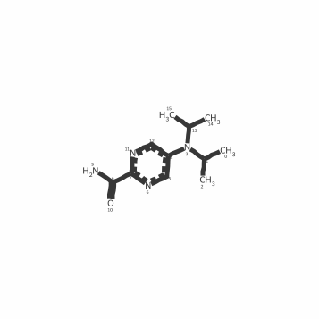 CC(C)N(c1cnc(C(N)=O)nc1)C(C)C